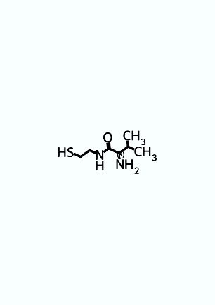 CC(C)[C@@H](N)C(=O)NCCS